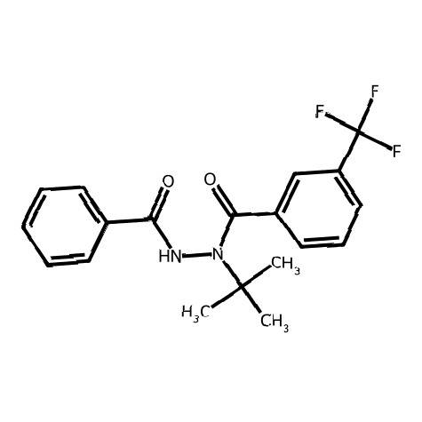 CC(C)(C)N(NC(=O)c1ccccc1)C(=O)c1cccc(C(F)(F)F)c1